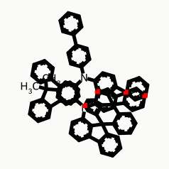 CC1(C)c2ccccc2-c2ccc(N(c3ccc(-c4ccccc4)cc3)c3ccc4c(c3)C3(c5ccccc5-4)c4ccccc4C4(c5ccccc5-c5cccc(N(c6ccc(-c7ccccc7)cc6)c6ccc(-c7ccccc7)cc6)c54)c4ccccc43)cc21